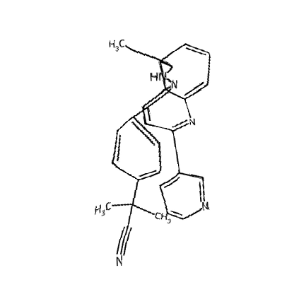 CC1NN(c2ccc(C(C)(C)C#N)cc2)C23C=CC(c4cccnc4)=NC2=CC=CC13